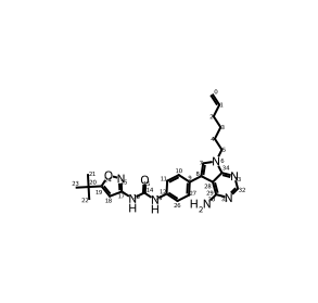 C=CCCCCn1cc(-c2ccc(NC(=O)Nc3cc(C(C)(C)C)on3)cc2)c2c(N)ncnc21